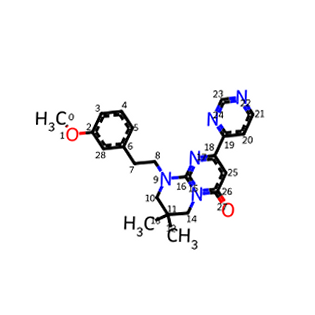 COc1cccc(CCN2CC(C)(C)Cn3c2nc(-c2ccncn2)cc3=O)c1